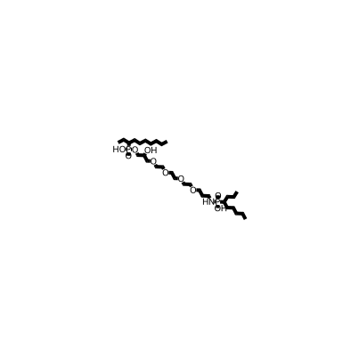 CCCCCCCC(CC)P(=O)(O)OCC(O)COCCOCCOCCOCCCNP(=O)(O)C(CCC)CCCCC